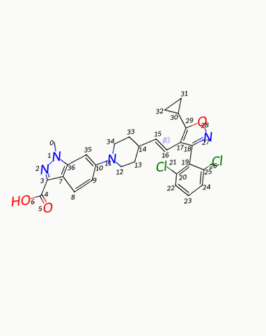 Cn1nc(C(=O)O)c2ccc(N3CCC(/C=C/c4c(-c5c(Cl)cccc5Cl)noc4C4CC4)CC3)cc21